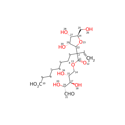 C=CC(CCCCCCCC(=O)O)(C(=O)OC[C@@H](O)[C@@H](O)[C@@H](O)C=O)C1O[C@H](CO)[C@@H](O)[C@H]1O